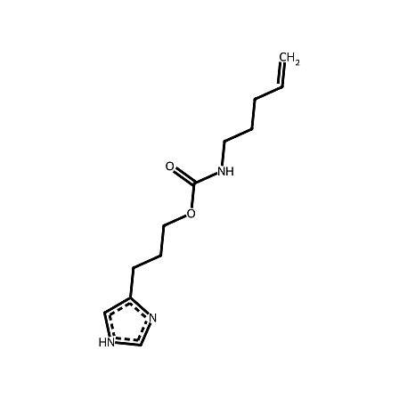 C=CCCCNC(=O)OCCCc1c[nH]cn1